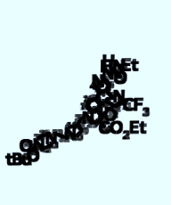 CCNC(=O)Nc1cc(-c2nc(C(F)(F)F)cs2)c(-c2ccc3c(c2)c(=O)c(C(=O)OCC)cn3CC2CCN(CCN3CCN(C(=O)OC(C)(C)C)CC3)C2)cn1